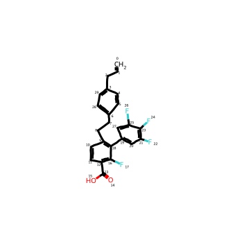 C=CCc1ccc(CCc2ccc(C(=O)O)c(F)c2-c2cc(F)c(F)c(F)c2)cc1